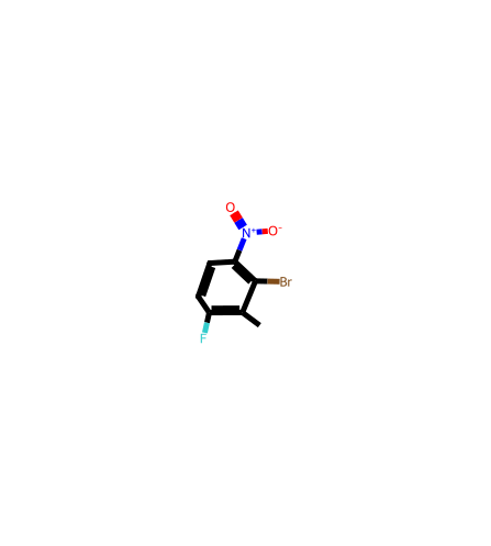 Cc1c(F)ccc([N+](=O)[O-])c1Br